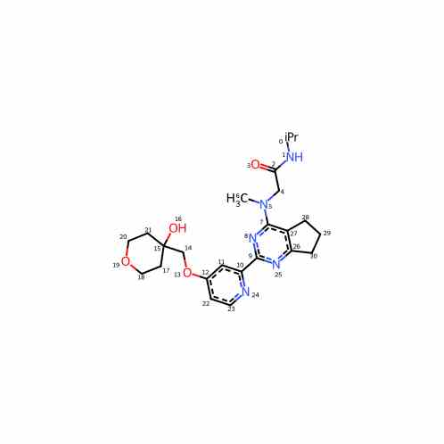 CC(C)NC(=O)CN(C)c1nc(-c2cc(OCC3(O)CCOCC3)ccn2)nc2c1CCC2